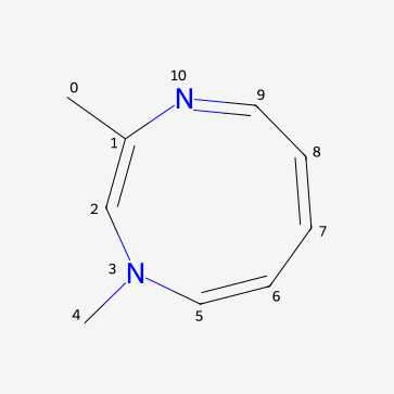 Cc1cn(C)cccccn1